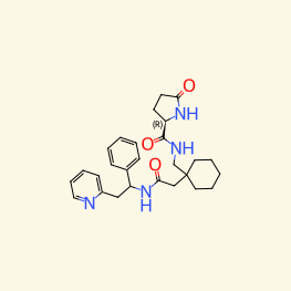 O=C(CC1(CNC(=O)[C@H]2CCC(=O)N2)CCCCC1)NC(Cc1ccccn1)c1ccccc1